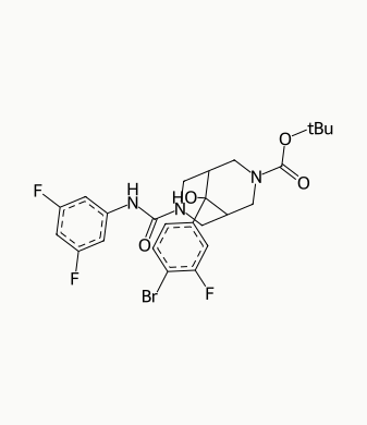 CC(C)(C)OC(=O)N1CC2CN(C(=O)Nc3cc(F)cc(F)c3)CC(C1)C2(O)c1ccc(Br)c(F)c1